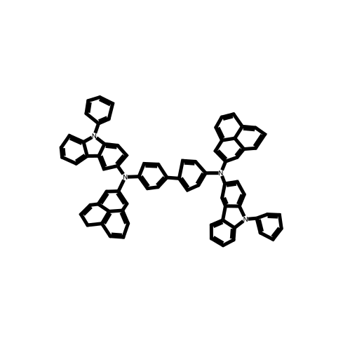 C1=CC2=CC=CC3=CC(N(c4ccc(-c5ccc(N(c6cc7c8c(cccc8c6)CC=C7)c6ccc7c(c6)c6ccccc6n7-c6ccccc6)cc5)cc4)c4ccc5c(c4)c4ccccc4n5-c4ccccc4)=CC(=C1)C23